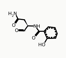 NC(=O)C[C@H]([C]=O)NC(=O)c1ccccc1O